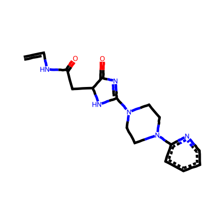 C=CNC(=O)CC1NC(N2CCN(c3ccccn3)CC2)=NC1=O